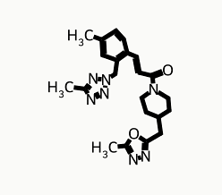 Cc1ccc(C=CC(=O)N2CCC(Cc3nnc(C)o3)CC2)c(Cn2nnc(C)n2)c1